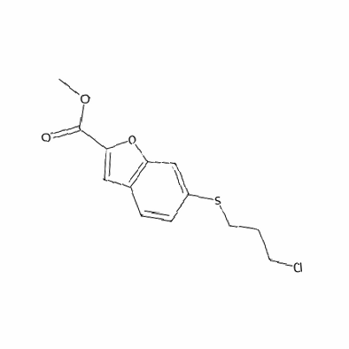 COC(=O)c1cc2ccc(SCCCCl)cc2o1